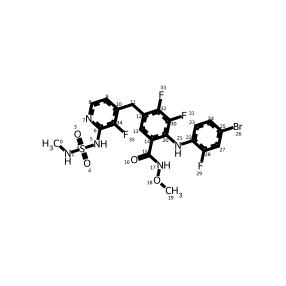 CNS(=O)(=O)Nc1nccc(Cc2cc(C(=O)NOC)c(Nc3ccc(Br)cc3F)c(F)c2F)c1F